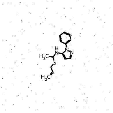 C=CCSC(C)Nc1ccnn1-c1ccccc1